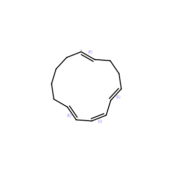 [C]1=C/CC/C=C/C=C\C=C\CCCC/1